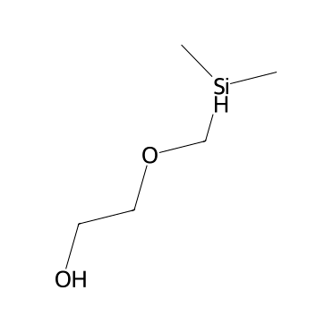 C[SiH](C)COCCO